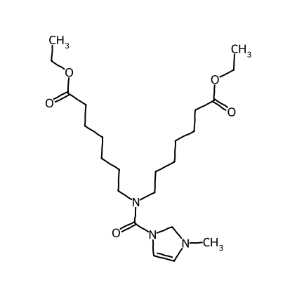 CCOC(=O)CCCCCCN(CCCCCCC(=O)OCC)C(=O)N1C=CN(C)C1